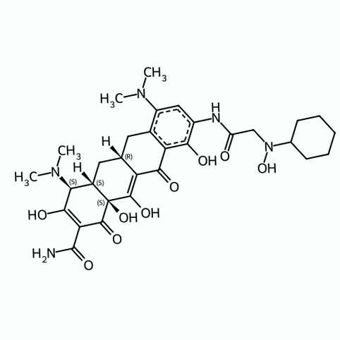 CN(C)c1cc(NC(=O)CN(O)C2CCCCC2)c(O)c2c1C[C@H]1C[C@H]3[C@H](N(C)C)C(O)=C(C(N)=O)C(=O)[C@@]3(O)C(O)=C1C2=O